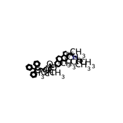 CC[C@H](/C=C/[C@@H](C)[C@H]1CCC2C3CC=C4C[C@@H](OC(=O)N(CC(O)COC(c5ccccc5)(c5ccccc5)c5ccccc5)C(C)C)CC[C@]4(C)C3CC[C@@]21C)C(C)C